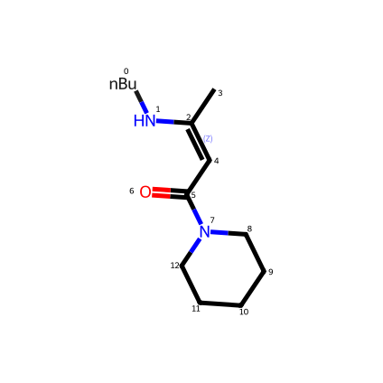 CCCCN/C(C)=C\C(=O)N1CCCCC1